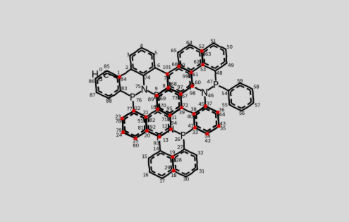 CCc1cccc(Cc2ccc(N(P(c3ccccc3)c3ccccc3)P(c3ccccc3)c3ccccc3)c(-c3ccccc3N(P(c3ccccc3)c3ccccc3)P(c3ccccc3)c3ccccc3)c2)c1N(P(c1ccccc1)c1ccccc1)P(c1ccccc1)c1ccccc1